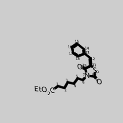 CCOC(=O)CCCCCCN1C(=O)SC(=Cc2ccccc2)C1=O